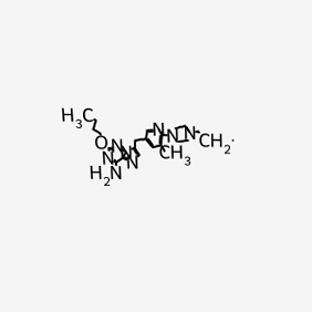 [CH2]CN1CCN(c2ncc(Cc3cnc4c(N)nc(OCCCC)nn34)cc2C)CC1